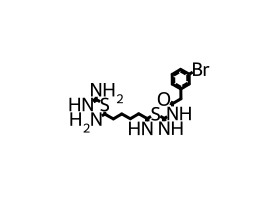 N=C(N)SC(N)CCCCC(=N)SC(=N)NC(=O)Cc1cccc(Br)c1